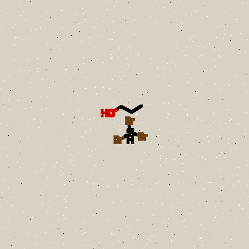 Br[SiH](Br)Br.CCCO